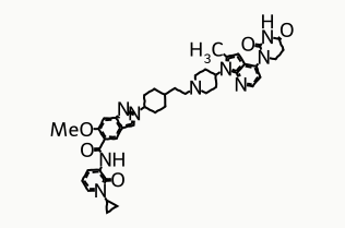 COc1cc2nn(C3CCC(CCN4CCC(n5c(C)cc6c(N7CCC(=O)NC7=O)ccnc65)CC4)CC3)cc2cc1C(=O)Nc1cccn(C2CC2)c1=O